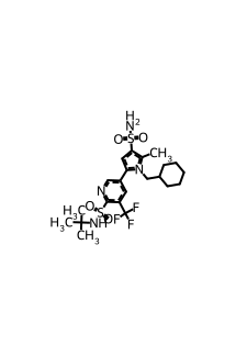 Cc1c(S(N)(=O)=O)cc(-c2cnc(S(=O)(=O)NC(C)(C)C)c(C(F)(F)F)c2)n1CC1CCCCC1